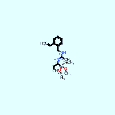 C=Cc1ccccc1CNC(C)NC(CC)[Si](OC)(OC)OC